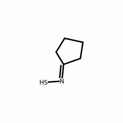 SN=C1CCCC1